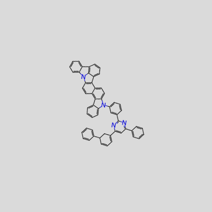 C1=CC(c2ccccc2)CC(c2cc(-c3ccccc3)nc(-c3cccc(-n4c5ccccc5c5c6ccc7c(c6ccc54)c4cccc5c6ccccc6n7c54)c3)n2)=C1